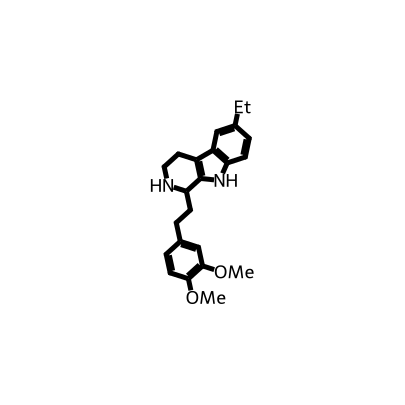 CCc1ccc2[nH]c3c(c2c1)CCNC3CCc1ccc(OC)c(OC)c1